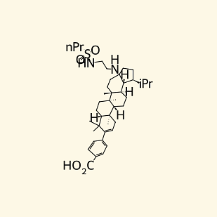 CCCS(=O)(=O)NCCN[C@]12CC[C@@H](C(C)C)[C@@H]1[C@H]1CC[C@@H]3[C@@]4(C)CC=C(c5ccc(C(=O)O)cc5)C(C)(C)[C@@H]4CC[C@@]3(C)[C@]1(C)CC2